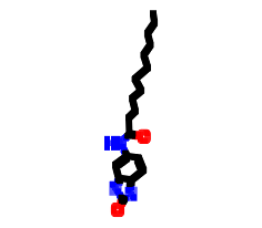 CCCCCCCCCCCC(=O)Nc1ccc2c(c1)=NC(=O)N=2